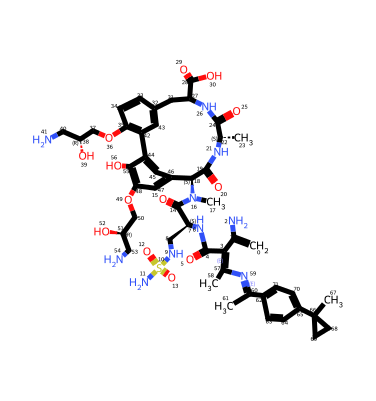 C=C(N)/C(C(=O)N[C@@H](CNS(N)(=O)=O)C(=O)N(C)[C@@H]1C(=O)N[C@@H](C)C(=O)NC(C(=O)O)Cc2ccc(OC[C@H](O)CN)c(c2)-c2cc1cc(OC[C@H](O)CN)c2O)=C(C)\N=C(/C)c1ccc(C2(C)CC2)cc1